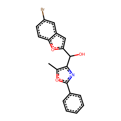 Cc1oc(-c2ccccc2)nc1C(O)c1cc2cc(Br)ccc2o1